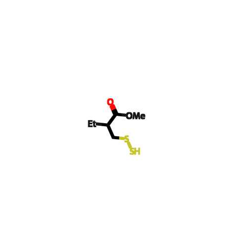 CCC(CSS)C(=O)OC